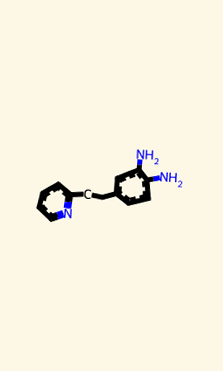 Nc1ccc(CCc2ccccn2)cc1N